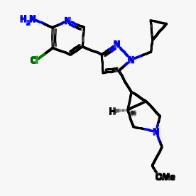 COCCN1CC2C(c3cc(-c4cnc(N)c(Cl)c4)nn3CC3CC3)[C@@H]2C1